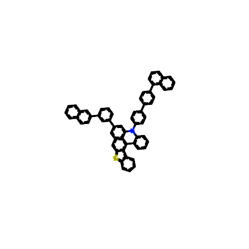 c1cc(-c2cccc(N(c3ccc(-c4ccc(-c5cccc6ccccc56)cc4)cc3)c3ccccc3-c3cccc4sc5ccccc5c34)c2)cc(-c2ccc3ccccc3c2)c1